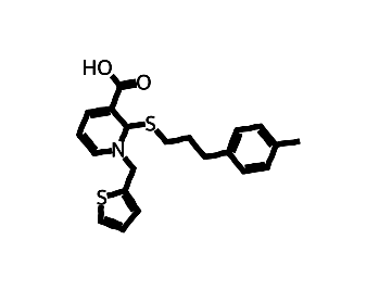 Cc1ccc(CCCSC2C(C(=O)O)=CC=CN2Cc2cccs2)cc1